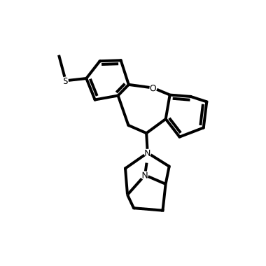 CSc1ccc2c(c1)CC(N1CC3CCC(C1)N3C)c1ccccc1O2